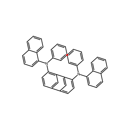 c1ccc(N(c2cccc3ccccc23)c2ccc3cc2c2cc3ccc2N(c2ccccc2)c2cccc3ccccc23)cc1